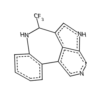 FC(F)(F)C1Nc2ccccc2-c2cnnc3[nH]cc1c23